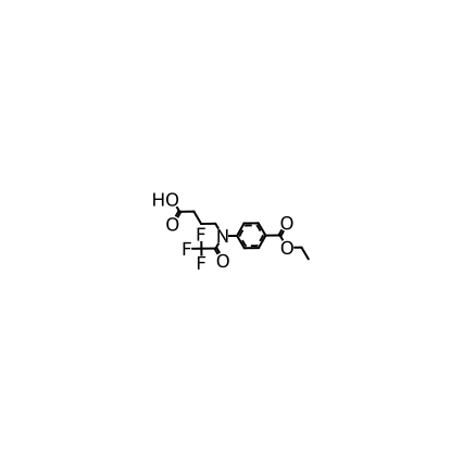 CCOC(=O)c1ccc(N(CCCC(=O)O)C(=O)C(F)(F)F)cc1